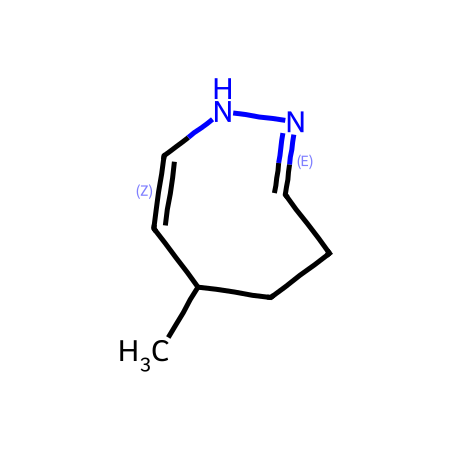 CC1/C=C\N/N=C/CC1